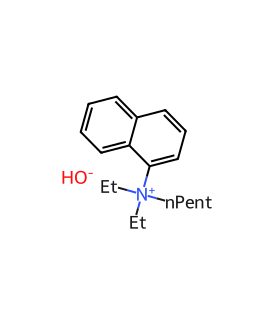 CCCCC[N+](CC)(CC)c1cccc2ccccc12.[OH-]